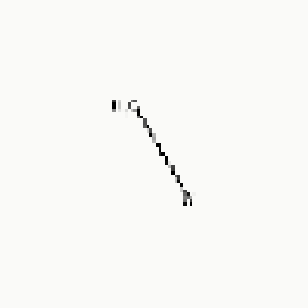 CCCCCC=CCC=CCC=CCCCCCC[C]=O